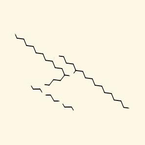 CCCCCCCCCCCC(CCCC)OC(CCCC)CCCCCCCCCCC.OCCOCCOCCO